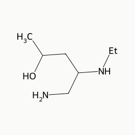 CCNC(CN)CC(C)O